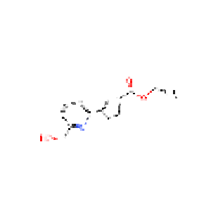 CCOC(=O)C1C=C(c2cccc(CO)n2)CC1